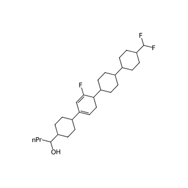 CCCC(O)C1CCC(C2=CCC(C3CCC(C4CCC(C(F)F)CC4)CC3)C(F)=C2)CC1